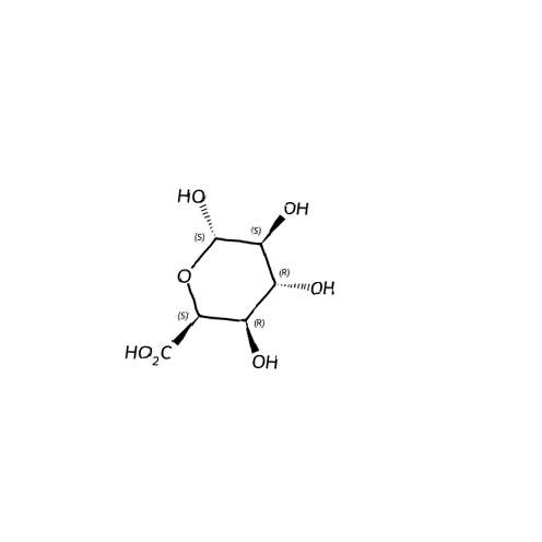 O=C(O)[C@H]1O[C@H](O)[C@@H](O)[C@H](O)[C@H]1O